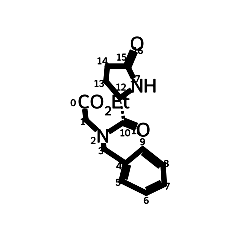 CCOC(=O)CN(Cc1ccccc1)C(=O)[C@@H]1CCC(=O)N1